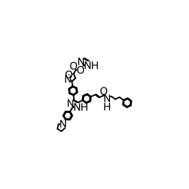 O=C(C=Cc1ccc(-c2[nH]c(-c3ccc(N4CCCC4)cc3)nc2-c2ccc(C3=NOC(C(=O)Oc4ncc[nH]4)C3)cc2)cc1)NCCCc1ccccc1